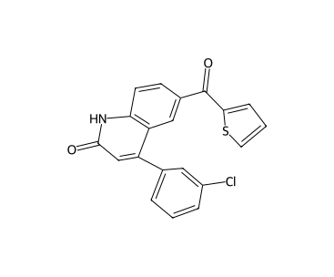 O=C(c1ccc2[nH]c(=O)cc(-c3cccc(Cl)c3)c2c1)c1cccs1